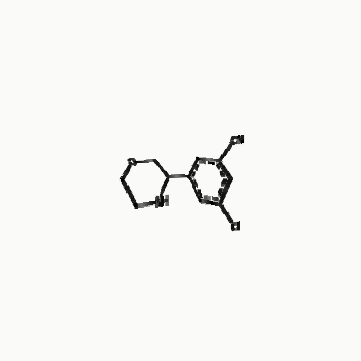 N#Cc1cc(Cl)cc(C2COCCN2)c1